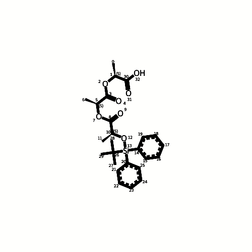 C[C@H](OC(=O)[C@H](C)OC(=O)[C@H](C)O[Si](c1ccccc1)(c1ccccc1)C(C)(C)C)C(=O)O